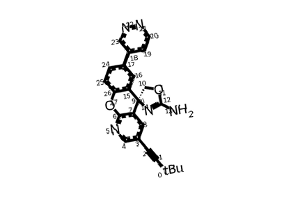 CC(C)(C)C#Cc1cnc2c(c1)[C@@]1(COC(N)=N1)c1cc(-c3ccnnc3)ccc1O2